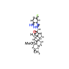 COCC12CC[C@H](C)CC1CCC1C3CCC(C(=O)CN/N=C4/C=C(F)C=CC4=N)C3(C)CCC12